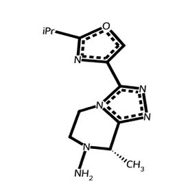 CC(C)c1nc(-c2nnc3n2CCN(N)[C@H]3C)co1